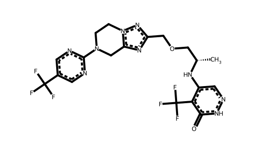 C[C@@H](COCc1nc2n(n1)CCN(c1ncc(C(F)(F)F)cn1)C2)Nc1cn[nH]c(=O)c1C(F)(F)F